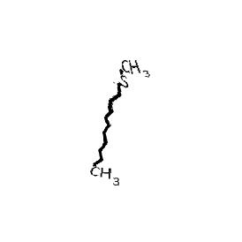 CCCCCCCCCCC[CH]SCC